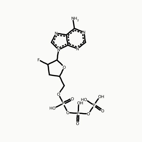 Nc1ncnc2c1ncn2C1OC(COP(=O)(O)OP(=O)(O)OP(=O)(O)O)CC1F